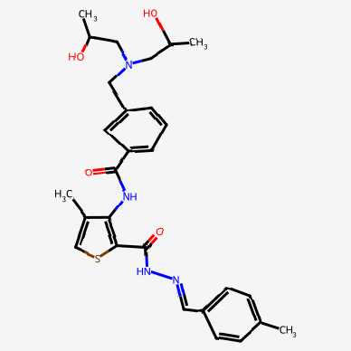 Cc1ccc(/C=N/NC(=O)c2scc(C)c2NC(=O)c2cccc(CN(CC(C)O)CC(C)O)c2)cc1